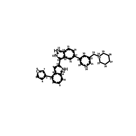 c1cc(-c2ccoc2)c2cc(-c3n[nH]c4ccc(-c5cncc(CN6CCCCC6)c5)cc34)[nH]c2c1